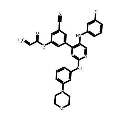 C=CC(=O)Nc1cc(C#N)cc(-c2nc(Nc3cccc(N4CCOCC4)c3)ncc2Nc2cccc(F)c2)c1